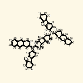 c1ccc2cc3cc(N(c4ccc5c(c4)oc4ccccc45)c4cc5sc6nc(N(c7ccc8cc9ccccc9cc8c7)c7ccc8c(c7)oc7ccccc78)nnc6c5nn4)ccc3cc2c1